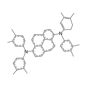 CC1=C(C)CCC(N(c2ccc(C)c(C)c2)c2ccc3ccc4c(N(c5ccc(C)c(C)c5)c5ccc(C)c(C)c5)ccc5ccc2c3c54)=C1